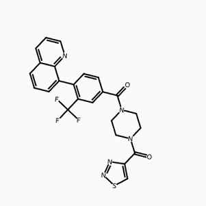 O=C(c1ccc(-c2cccc3cccnc23)c(C(F)(F)F)c1)N1CCN(C(=O)c2csnn2)CC1